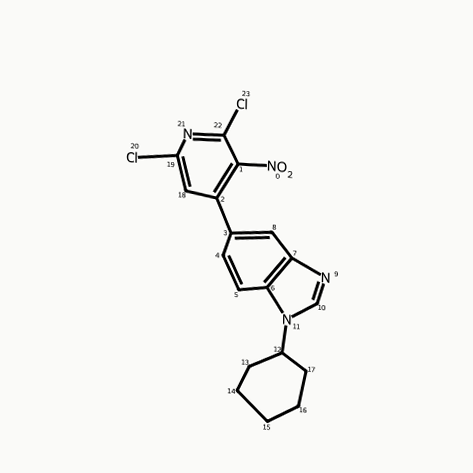 O=[N+]([O-])c1c(-c2ccc3c(c2)ncn3C2CCCCC2)cc(Cl)nc1Cl